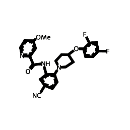 COc1ccnc(C(=O)Nc2cc(C#N)ccc2N2CCC(Oc3ccc(F)cc3F)CC2)c1